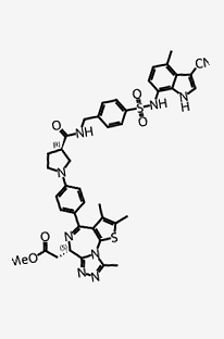 COC(=O)C[C@@H]1N=C(c2ccc(N3CC[C@@H](C(=O)NCc4ccc(S(=O)(=O)Nc5ccc(C)c6c(C#N)c[nH]c56)cc4)C3)cc2)c2c(sc(C)c2C)-n2c(C)nnc21